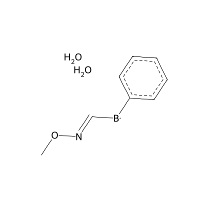 CON=C[B]c1ccccc1.O.O